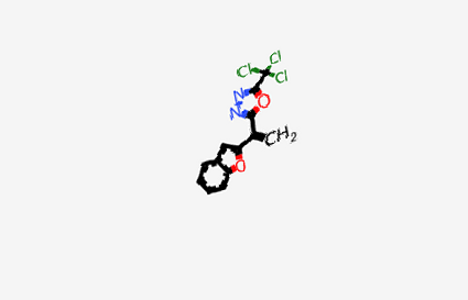 C=C(c1cc2ccccc2o1)c1nnc(C(Cl)(Cl)Cl)o1